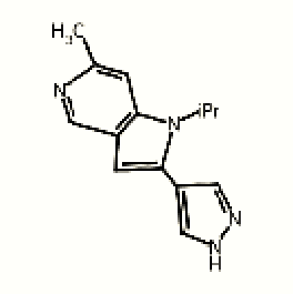 Cc1cc2c(cn1)cc(-c1cn[nH]c1)n2C(C)C